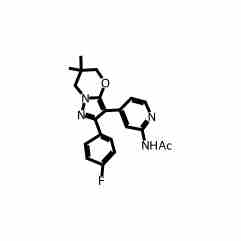 CC(=O)Nc1cc(-c2c(-c3ccc(F)cc3)nn3c2OCC(C)(C)C3)ccn1